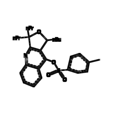 CCCCC1OC(CCC)(CCC)c2nc3ccccc3c(OS(=O)(=O)c3ccc(C)cc3)c21